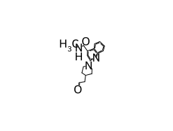 CNC(=O)c1cc(N2CCC(CC=O)CC2)nc2ccccc12